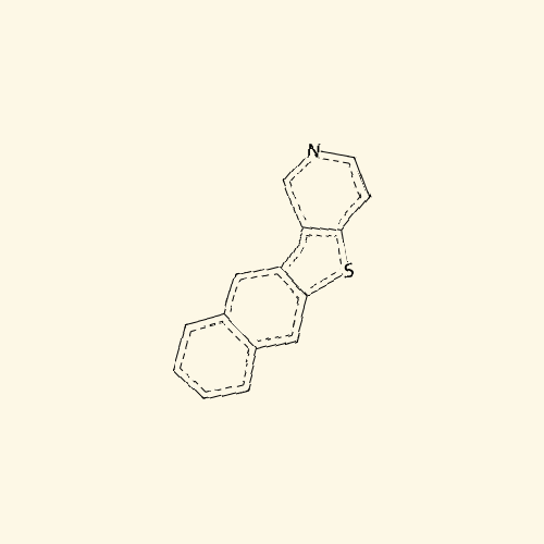 c1ccc2cc3c(cc2c1)sc1ccncc13